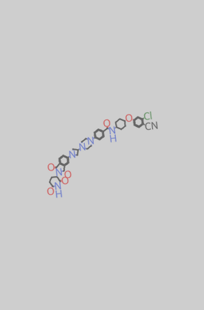 N#Cc1ccc(O[C@H]2CC[C@H](NC(=O)c3ccc(N4CCN(C5CN(c6ccc7c(c6)C(=O)N(C6CCC(=O)NC6=O)C7=O)C5)CC4)cc3)CC2)cc1Cl